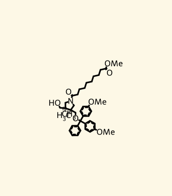 COC(=O)CCCCCCCCC(=O)N1C[C@](C)(CO)[C@](C)(COC(c2ccccc2)(c2ccc(OC)cc2)c2ccc(OC)cc2)C1